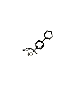 C=C=CC(C)(O)c1ccc(C2=CCCCC2)cc1